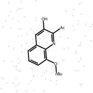 CCCCOc1cccc2cc(O)c(C(C)=O)nc12